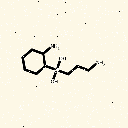 NCCC[Si](O)(O)C1CCCCC1N